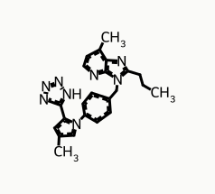 CCCc1nc2c(C)ccnc2n1Cc1ccc(-n2cc(C)cc2-c2nnn[nH]2)cc1